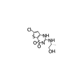 C[C@H](CO)NC1=NS(=O)(=O)c2sc(Cl)cc2N1